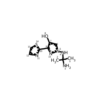 CC(C)(N)Nn1cc(O)c(-c2nccs2)n1